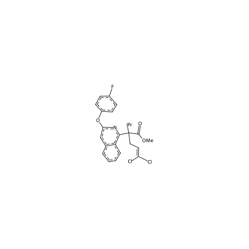 COC(=O)C(CC=C(Cl)Cl)(c1nc(Oc2ccc(F)cc2)cc2ccccc12)C(C)C